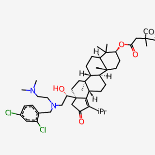 CC(C)C1=C2[C@H]3CC[C@H]4[C@@H](CC[C@H]5C(C)(C)[C@@H](OC(=O)CC(C)(C)C(=O)O)CC[C@]45C)[C@]3(C)CC[C@@]2([C@@H](O)CN(CCN(C)C)Cc2ccc(Cl)cc2Cl)CC1=O